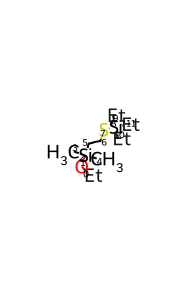 CCO[Si](C)(C)CCS[Si](CC)(CC)CC